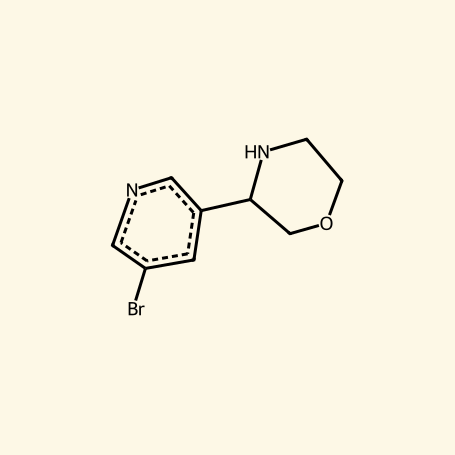 Brc1cncc(C2COCCN2)c1